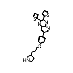 c1csc(-c2nc3cc(-c4ccc(OCCCC5CCNC5)cc4)cnc3nc2-c2cccs2)c1